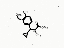 COC(=O)[C@@H](C)C(c1ccc(O)c(COC(C)=O)c1)C1CC1